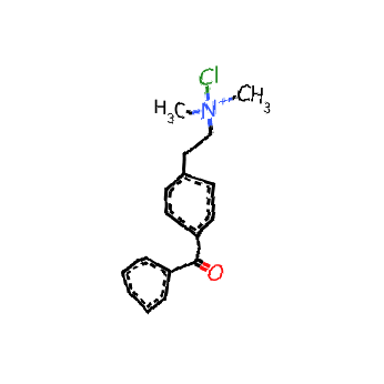 C[N+](C)(Cl)CCc1ccc(C(=O)c2ccccc2)cc1